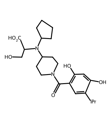 CC(C)c1cc(C(=O)N2CCC(N(C3CCCC3)C(CO)C(=O)O)CC2)c(O)cc1O